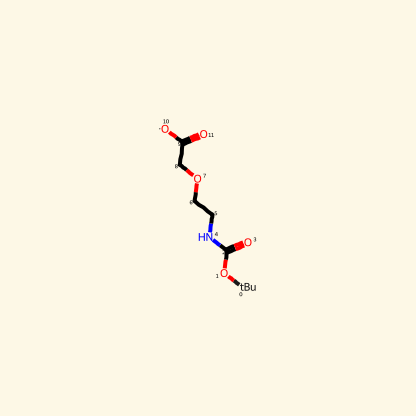 CC(C)(C)OC(=O)NCCOCC([O])=O